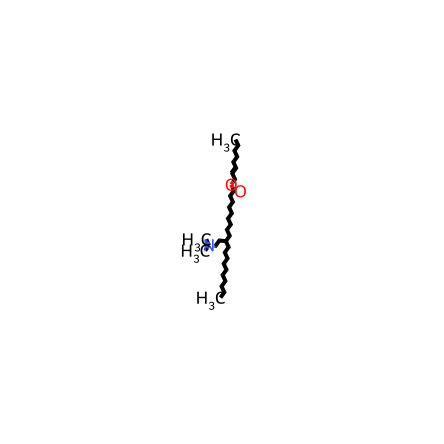 CCCCCC=CCOC(=O)CCCCCCCCC(CCCCCCCCCC)CCN(C)C